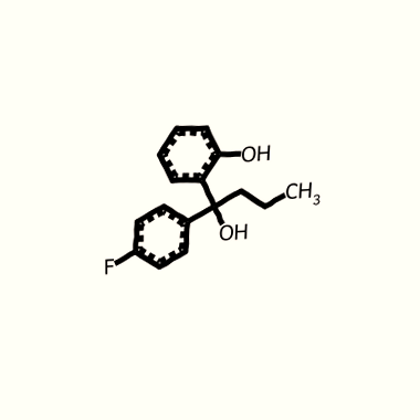 CCCC(O)(c1ccc(F)cc1)c1ccccc1O